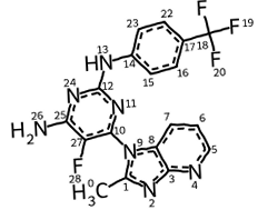 Cc1nc2ncccc2n1-c1nc(Nc2ccc(C(F)(F)F)cc2)nc(N)c1F